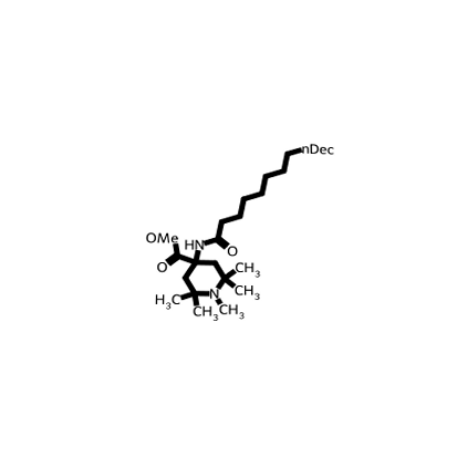 CCCCCCCCCCCCCCCCCC(=O)NC1(C(=O)OC)CC(C)(C)N(C)C(C)(C)C1